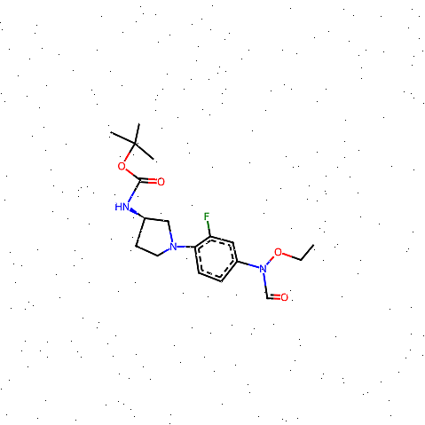 CCON(C=O)c1ccc(N2CC[C@@H](NC(=O)OC(C)(C)C)C2)c(F)c1